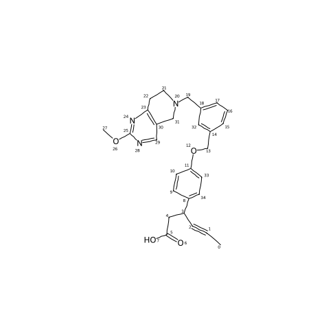 CC#CC(CC(=O)O)c1ccc(OCc2cccc(CN3CCc4nc(OC)ncc4C3)c2)cc1